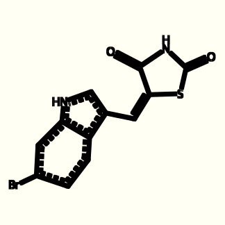 O=C1NC(=O)C(=Cc2c[nH]c3cc(Br)ccc23)S1